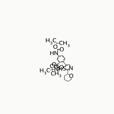 CC(C)OC(=O)Nc1ccc(-c2cnc(C3CCCCO3)s2)c(S(=O)(=O)NC(C)(C)C)c1